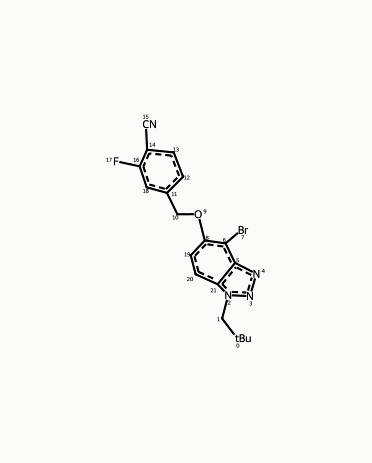 CC(C)(C)Cn1nnc2c(Br)c(OCc3ccc(C#N)c(F)c3)ccc21